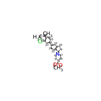 COC(=O)C1CCN(C2CCc3cc(-c4ccc(C(C)C)c(Cl)c4)ccc32)CC1